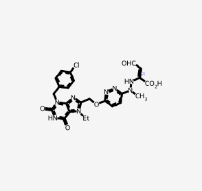 CCn1c(COc2ccc(N(C)N/C(=C\C=O)C(=O)O)nn2)nc2c1c(=O)[nH]c(=O)n2Cc1ccc(Cl)cc1